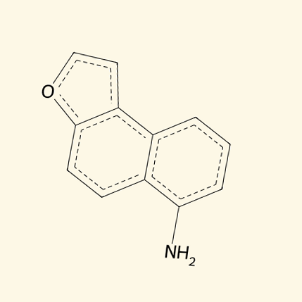 Nc1cccc2c1ccc1occc12